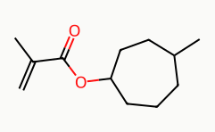 C=C(C)C(=O)OC1CCCC(C)CC1